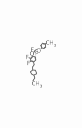 CCCC1CCC(CCc2ccc(OC(F)(F)COc3ccc(C)cc3)c(F)c2F)CC1